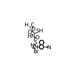 CCOC(=O)C(CS)NC(=O)CSc1ncc(Br)n1-c1ccc(C#N)c2ccccc12